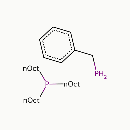 CCCCCCCCP(CCCCCCCC)CCCCCCCC.PCc1ccccc1